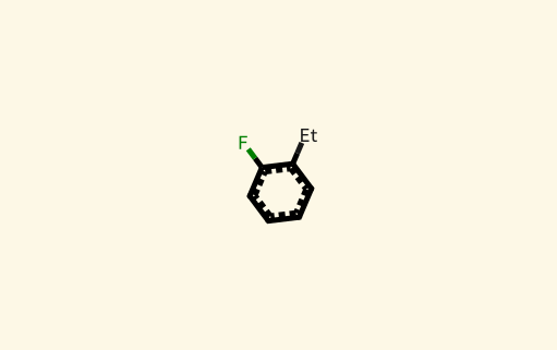 [CH]Cc1ccccc1F